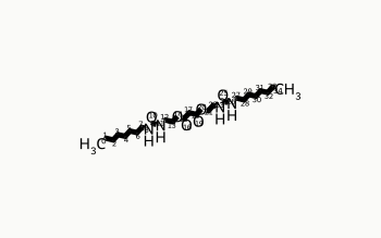 CCCCCCCCNC(=O)NCCOC(=O)CC(=O)OCCNC(=O)NCCCCCCCC